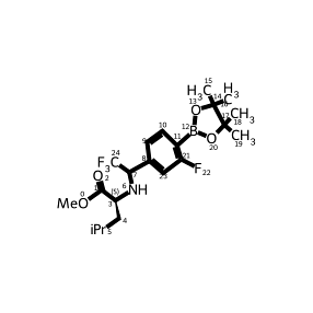 COC(=O)[C@H](CC(C)C)NC(c1ccc(B2OC(C)(C)C(C)(C)O2)c(F)c1)C(F)(F)F